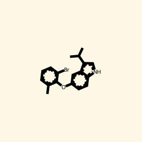 Cc1cccc(Br)c1Oc1ccc2[nH]cc(C(C)C)c2c1